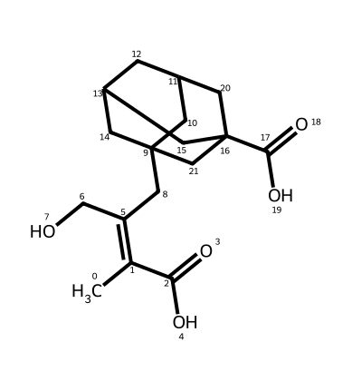 CC(C(=O)O)=C(CO)CC12CC3CC(C1)CC(C(=O)O)(C3)C2